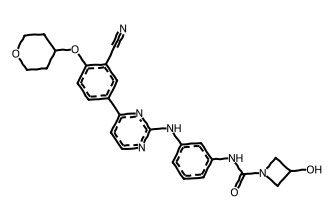 N#Cc1cc(-c2ccnc(Nc3cccc(NC(=O)N4CC(O)C4)c3)n2)ccc1OC1CCOCC1